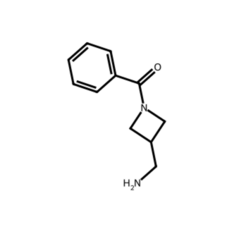 NCC1CN(C(=O)c2ccccc2)C1